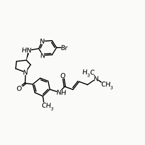 Cc1cc(C(=O)N2CC[C@@H](Nc3ncc(Br)cn3)C2)ccc1NC(=O)/C=C/CN(C)C